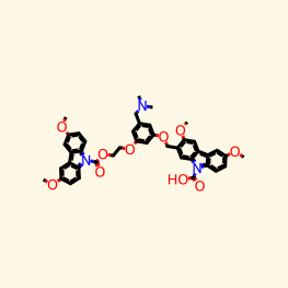 COc1ccc2c(c1)c1cc(OC)c(COc3cc(CN(C)C)cc(OCCOC(=O)n4c5ccc(OC)cc5c5cc(OC)ccc54)c3)cc1n2C(=O)O